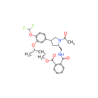 COC(=O)c1ccccc1C(=O)NC[C@H]1CC(c2ccc(OC(F)F)c(OC(C)C)c2)CN1C(C)=O